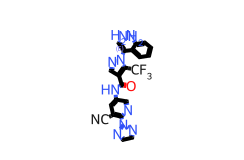 N#Cc1cc(NC(=O)c2cnn(/C(=C/N)c3ccccc3N)c2C(F)(F)F)cnc1-n1nccn1